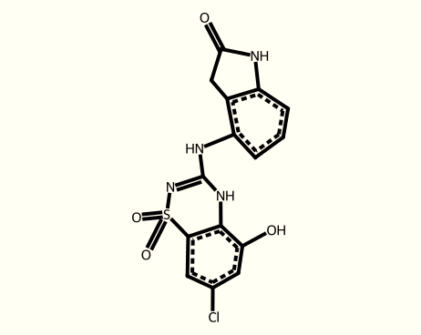 O=C1Cc2c(cccc2NC2=NS(=O)(=O)c3cc(Cl)cc(O)c3N2)N1